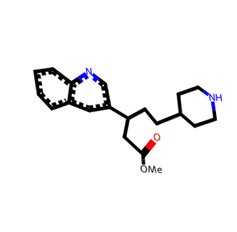 COC(=O)CC(CCC1CCNCC1)c1cnc2ccccc2c1